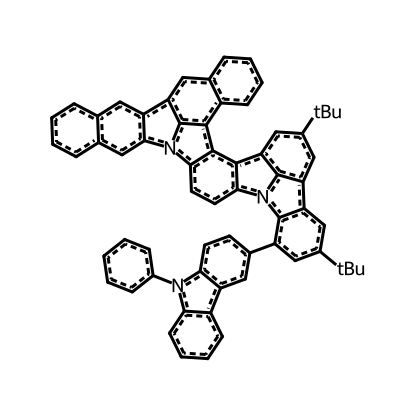 CC(C)(C)c1cc(-c2ccc3c(c2)c2ccccc2n3-c2ccccc2)c2c(c1)c1cc(C(C)(C)C)cc3c4c5c6c7ccccc7cc7c8cc9ccccc9cc8n(c5ccc4n2c13)c76